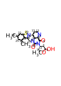 CC[C@H](CC(=O)O)n1c(=O)c2ncccc2n(Cc2nsc3cc(C)cc(C)c23)c1=O